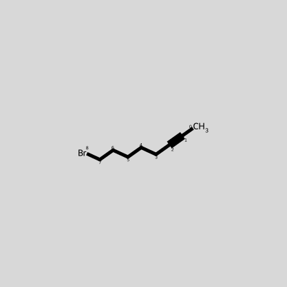 CC#CCCCCCBr